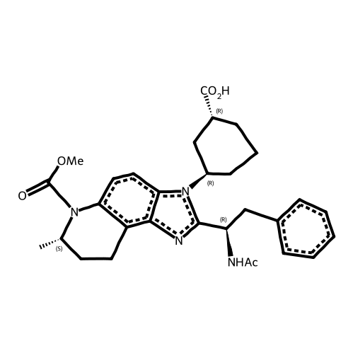 COC(=O)N1c2ccc3c(nc([C@@H](Cc4ccccc4)NC(C)=O)n3[C@@H]3CCC[C@@H](C(=O)O)C3)c2CC[C@@H]1C